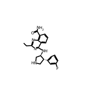 CCc1nc(N[C@@H]2CNC[C@H]2c2cccc(F)c2)c2cccc(C(N)=O)c2n1